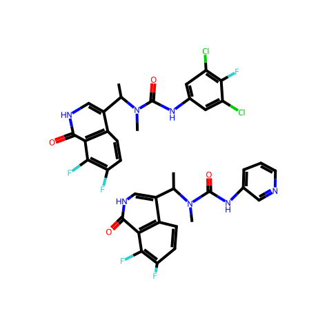 CC(c1c[nH]c(=O)c2c(F)c(F)ccc12)N(C)C(=O)Nc1cc(Cl)c(F)c(Cl)c1.CC(c1c[nH]c(=O)c2c(F)c(F)ccc12)N(C)C(=O)Nc1cccnc1